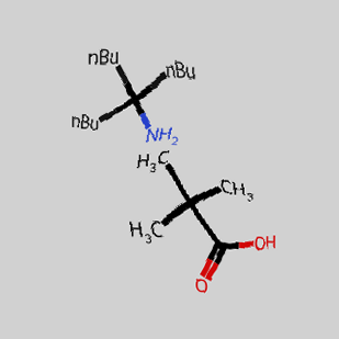 CC(C)(C)C(=O)O.CCCCC(N)(CCCC)CCCC